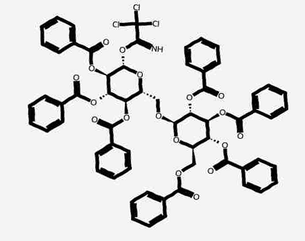 N=C(O[C@@H]1O[C@H](CO[C@@H]2O[C@H](COC(=O)c3ccccc3)[C@@H](OC(=O)c3ccccc3)[C@H](OC(=O)c3ccccc3)[C@H]2OC(=O)c2ccccc2)[C@@H](OC(=O)c2ccccc2)[C@H](OC(=O)c2ccccc2)[C@H]1OC(=O)c1ccccc1)C(Cl)(Cl)Cl